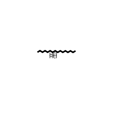 CCCCCCCCCCCCCCCC.Cl.Cl